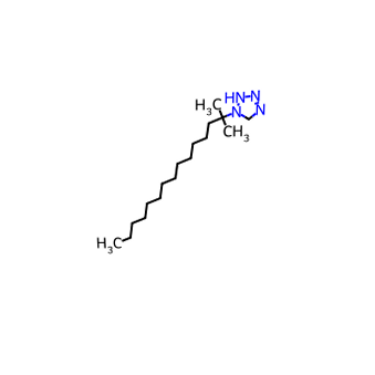 CCCCCCCCCCCCCC(C)(C)N1CN=NN1